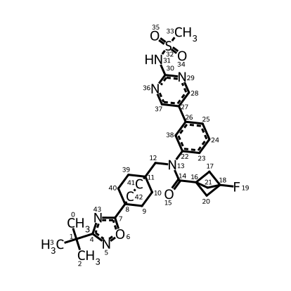 CC(C)(C)c1noc(C23CCC(CN(C(=O)C45CC(F)(C4)C5)c4cccc(-c5cnc(NS(C)(=O)=O)nc5)c4)(CC2)CC3)n1